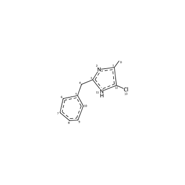 Cc1nc(Cc2ccccc2)[nH]c1Cl